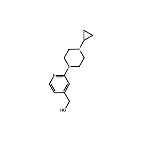 OCc1ccnc(N2CCN(C3CC3)CC2)c1